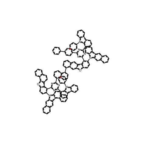 c1ccc(-c2ccc(-c3nc(-c4c(-n5c6ccccc6c6cc7ccccc7cc65)ccc5oc6cc7c(-c8cccc9c(-c%10nc(-c%11c(-n%12c%13cc%14ccccc%14cc%13c%13c%14ccccc%14ccc%13%12)ccc%12oc%13c%14ccccc%14ccc%13c%11%12)nc(-c%11cccc%12c%13ccccc%13n(-c%13ccccc%13)c%11%12)n%10)cccc89)cccc7cc6c45)nc(-c4cccc5c6ccccc6n(-c6ccccc6)c45)n3)cc2)cc1